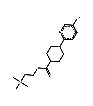 C[Si](C)(C)CCOC(=O)C1CCN(c2ccc(Br)cn2)CC1